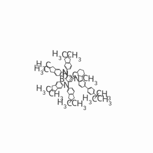 CC1(C)Cc2ccc(N3c4cc5c(cc4B4c6cc7c(cc6N(c6ccc8c(c6)CC(C)(C)C8)c6cc(N8c9ccc(-c%10ccc(C(C)(C)C)cc%10)cc9C9(C)CCCCC89C)cc3c64)CC(C)(C)C7)CC(C)(C)C5)cc2C1